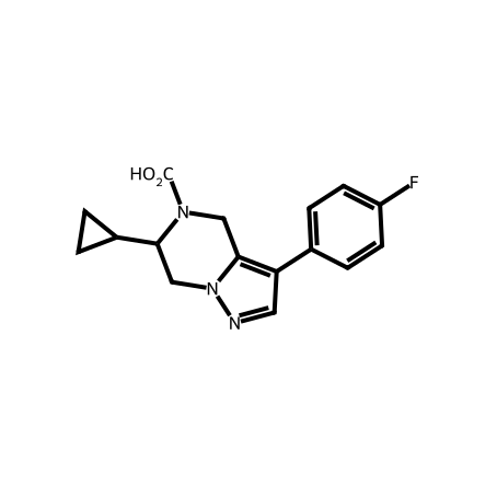 O=C(O)N1Cc2c(-c3ccc(F)cc3)cnn2CC1C1CC1